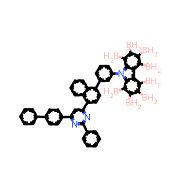 Bc1c(B)c(B)c2c(c1B)c1c(B)c(B)c(B)c(B)c1n2-c1cccc(-c2ccc(-c3cc(-c4ccc(-c5ccccc5)cc4)nc(-c4ccccc4)n3)c3ccccc23)c1